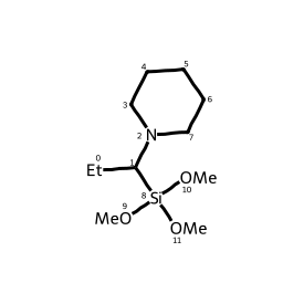 CCC(N1CCCCC1)[Si](OC)(OC)OC